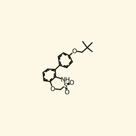 CC(C)(C)COc1ccc(-c2cccc3c2NS(=O)(=O)CO3)cc1